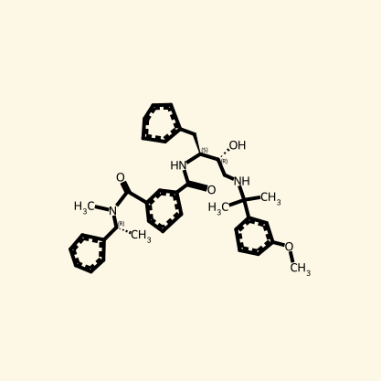 COc1cccc(C(C)(C)NC[C@@H](O)[C@H](Cc2ccccc2)NC(=O)c2cccc(C(=O)N(C)[C@H](C)c3ccccc3)c2)c1